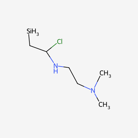 CN(C)CCNC(Cl)C[SiH3]